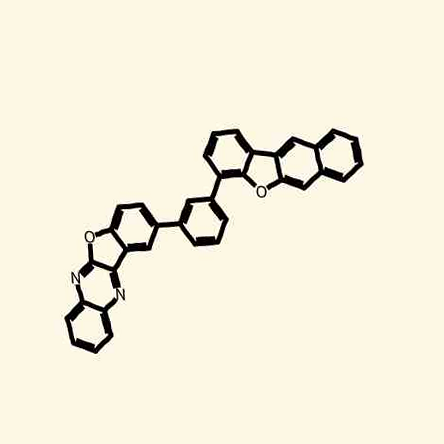 c1cc(-c2ccc3oc4nc5ccccc5nc4c3c2)cc(-c2cccc3c2oc2cc4ccccc4cc23)c1